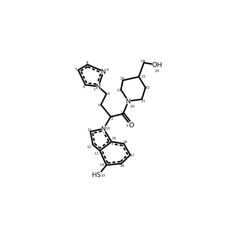 O=C(C(CCn1cccn1)n1ccc2c(S)cccc21)N1CCC(CO)CC1